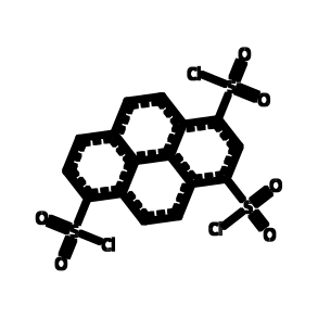 O=S(=O)(Cl)c1ccc2ccc3c(S(=O)(=O)Cl)cc(S(=O)(=O)Cl)c4ccc1c2c34